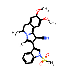 COC1=CC2=C3C(C#N)C(c4cn(S(C)(=O)=O)c5ccccc45)=C(C)N3C(C)CC2=CC1OC